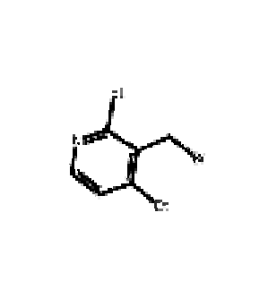 CCc1ccnc(CC)c1CBr